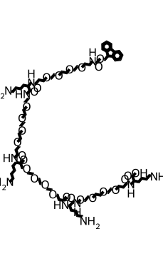 NCCCCC(NC(=O)CCOCCOCCOCCONC(=O)C(CCCCN)NC(=O)CCOCCOCCOCCOCC(=O)C(CCCCN)NC(=O)CCOCCOCCOCCOCCNC(=O)C(CCCCN)NC(=O)CCOCCOCCOCCOCCNC(=O)OCC1c2ccccc2-c2ccccc21)C(=O)O